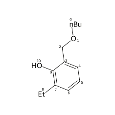 CCCCOCc1cccc(CC)c1O